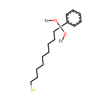 CCO[Si](CCCCCCCCCS)(OCC)c1ccccc1